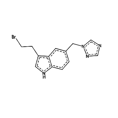 BrCCc1c[nH]c2ccc(Cn3cncn3)cc12